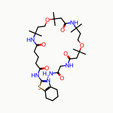 CC(C)(CCOC(C)(C)CC(=O)NC(C)(C)CCOC(C)(C)CC(=O)NCC(N)=O)NC(=O)CCCC(=O)Nc1nc2c(s1)CCCC2